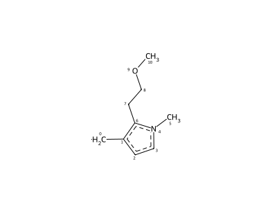 [CH2]c1ccn(C)c1CCOC